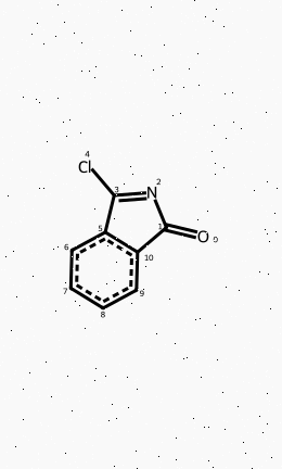 O=C1N=C(Cl)c2ccccc21